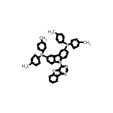 Cc1ccc(N(c2ccc(C)cc2)c2ccc3c(c2)c2cc(N(c4ccc(C)cc4)c4ccc(C)cc4)ccc2n3-c2ncnc3c2oc2ccccc23)cc1